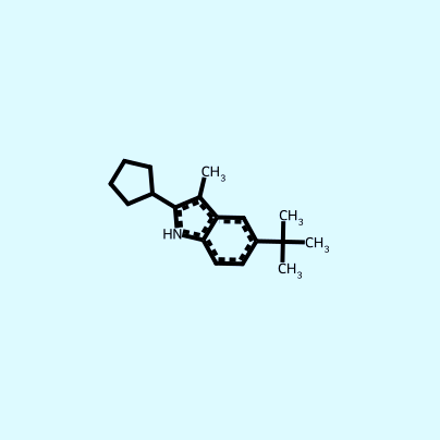 Cc1c(C2CCCC2)[nH]c2ccc(C(C)(C)C)cc12